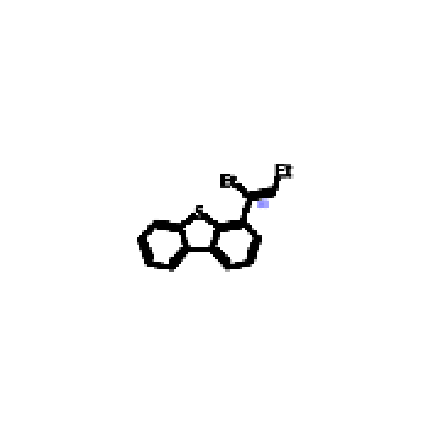 CC/C=C(\CC)c1cccc2c1sc1ccccc12